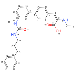 CCN/C(=C/c1ccc(-c2cccc(N(C)C(=O)NCCCc3ccccc3)c2)cc1)C(=O)O